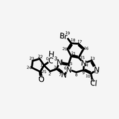 CC1(Cc2nc3n(n2)Cc2c(Cl)ncn2-c2ccc(Br)cc2-3)CCCC1=O